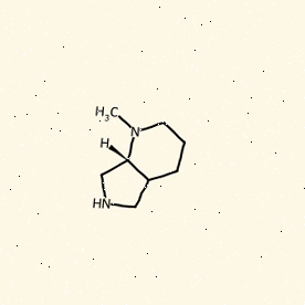 CN1CCCC2CNC[C@@H]21